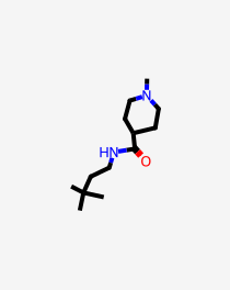 CN1CCC(C(=O)NCCC(C)(C)C)CC1